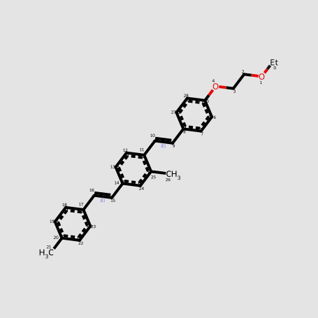 CCOCCOc1ccc(/C=C/c2ccc(/C=C/c3ccc(C)cc3)cc2C)cc1